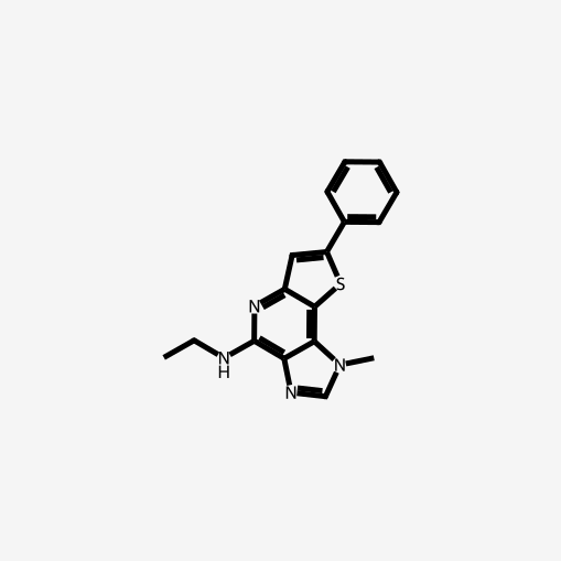 CCNc1nc2cc(-c3ccccc3)sc2c2c1ncn2C